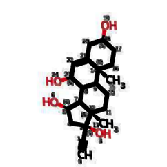 C#C[C@]1(O)C[C@@H](O)C2C3C(CC[C@@]21C)[C@@]1(C)CC[C@H](O)CC1=C[C@@H]3O